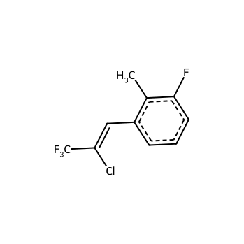 Cc1c(F)cccc1C=C(Cl)C(F)(F)F